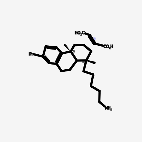 CC(C)c1ccc2c(c1)CCC1[C@@](C)(CSCCCN)CCC[C@]21C.O=C(O)/C=C/C(=O)O